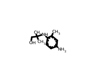 Cc1cc(N)ccc1NC(C)(C)CO